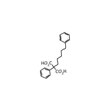 O=C(O)C(CCCCCc1ccccc1)(C(=O)O)c1ccccc1